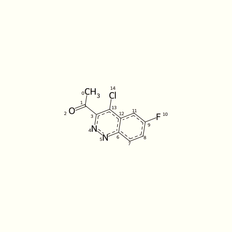 CC(=O)c1nnc2ccc(F)cc2c1Cl